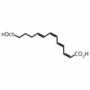 CCCCCCCCCCC/C=C/C=C\C=C\C=C/C(=O)O